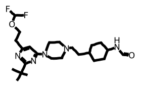 CC(C)(C)c1nc(CCOC(F)F)cc(N2CCN(CCC3CCC(NC=O)CC3)CC2)n1